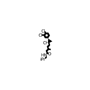 CC(/C=C/[C@]1(Cl)C[C@H]1c1ccc(Cl)c(Cl)c1)=C\C(=O)NCC(C)C